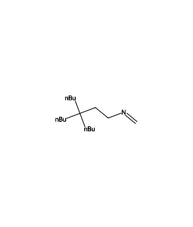 C=NCCC(CCCC)(CCCC)CCCC